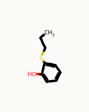 CCCSc1ccccc1O